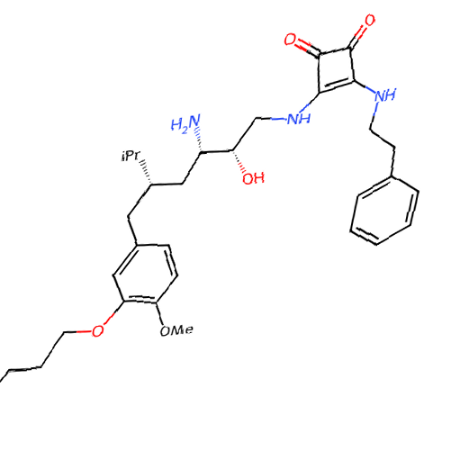 COCCCOc1cc(C[C@@H](C[C@H](N)[C@@H](O)CNc2c(NCCc3ccccc3)c(=O)c2=O)C(C)C)ccc1OC